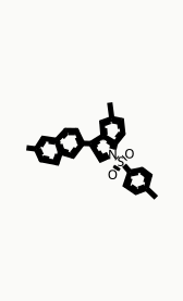 Cc1ccc(S(=O)(=O)n2cc(-c3ccc4cc(C)ccc4c3)c3cc(C)ccc32)cc1